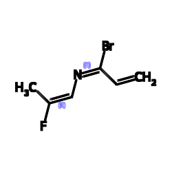 C=C/C(Br)=N\C=C(/C)F